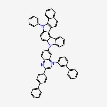 c1ccc(-c2ccc(-c3c[n+](-c4cccc(-c5ccccc5)c4)c4cc(-n5c6ccccc6c6c7c8ccc9ccccc9c8n(-c8ccccc8)c7ccc65)ccc4n3)cc2)cc1